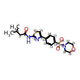 CC(C)CC(=O)Nc1nc(-c2ccc(S(=O)(=O)N3CCOCC3)cc2)cs1